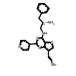 CC(C)(C)/C=C/c1csc2c(NC[C@@H](N)Cc3ccccc3)nc(-c3ccncc3)nc12